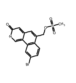 CS(=O)(=O)OCc1cc2c(c3cc(Br)ccc13)=C[N]C(=O)C=2